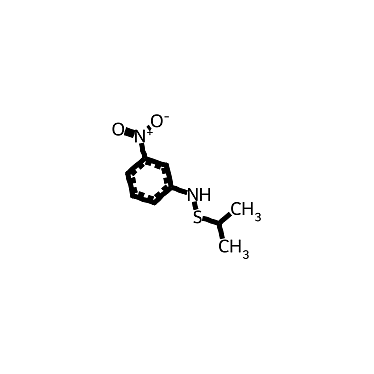 CC(C)SNc1cccc([N+](=O)[O-])c1